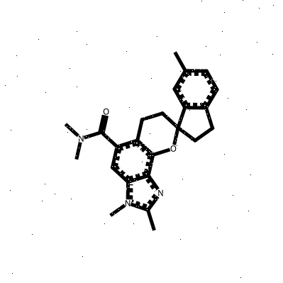 Cc1ccc2c(c1)C1(CC2)CCc2c(C(=O)N(C)C)cc3c(nc(C)n3C)c2O1